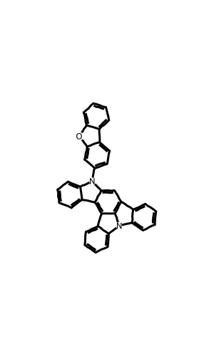 c1ccc2c(c1)oc1cc(-n3c4ccccc4c4c5c6ccccc6n6c7ccccc7c(cc43)c56)ccc12